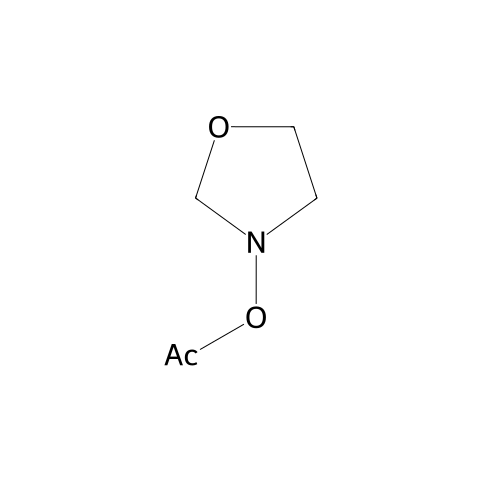 CC(=O)ON1CCOC1